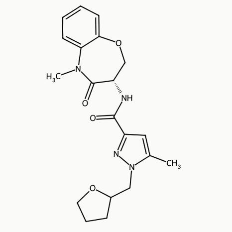 Cc1cc(C(=O)N[C@H]2COc3ccccc3N(C)C2=O)nn1CC1CCCO1